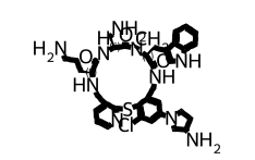 CN1C(=O)[C@H](CN)NC(=O)[C@H](CCCN)NCc2cccnc2Sc2c(Cl)cc(N3CCC(N)C3)cc2CNC(=O)[C@@H]1Cc1c[nH]c2ccccc12